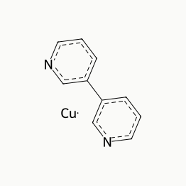 [Cu].c1cncc(-c2cccnc2)c1